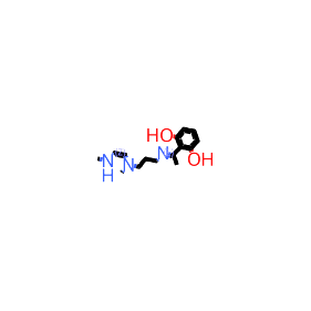 CN/C=C\N(C)CCC/N=C(\C)c1c(O)cccc1O